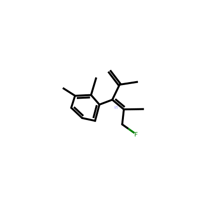 C=C(C)/C(=C(\C)CF)c1cccc(C)c1C